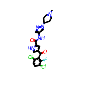 CN1CCC(n2cc(NC(=O)c3cc(C(=O)c4c(Cl)ccc(Cl)c4F)c[nH]3)cn2)CC1